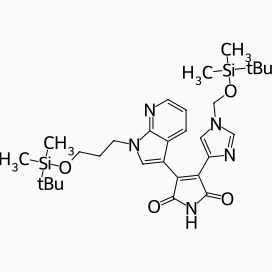 CC(C)(C)[Si](C)(C)OCCCn1cc(C2=C(c3cn(CO[Si](C)(C)C(C)(C)C)cn3)C(=O)NC2=O)c2cccnc21